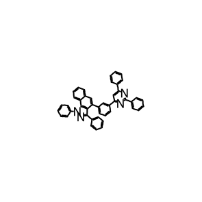 c1ccc(-c2cc(-c3cccc(-c4cc5ccccc5c5c4c(-c4ccccc4)nn5-c4ccccc4)c3)nc(-c3ccccc3)n2)cc1